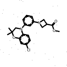 COC(=O)C1CN(c2cccc(N3CC(C)(C)Oc4cc(Cl)ccc43)c2)C1